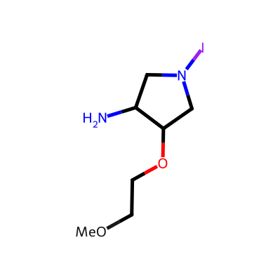 COCCOC1CN(I)CC1N